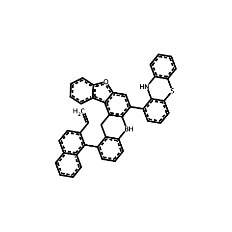 C=Cc1ccc2ccccc2c1-c1cccc2c1Cc1c(c(-c3cccc4c3Nc3ccccc3S4)cc3oc4ccccc4c13)B2